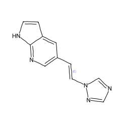 C(=C\n1cncn1)/c1cnc2[nH]ccc2c1